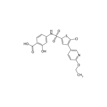 CCOc1ccc(-c2cc(S(=O)(=O)Nc3ccc(C(=O)O)c(O)c3)sc2Cl)cn1